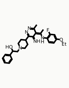 CCOc1ccc(N/C(C)=C2\C(=N)C(C3CCN(CC(O)c4ccccc4)CC3)=NN=C2C)c(F)c1